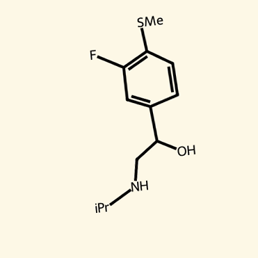 CSc1ccc(C(O)CNC(C)C)cc1F